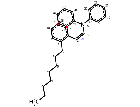 CCCCCCCCc1ccccc1/C=C\N(c1ccccc1)c1ccccc1